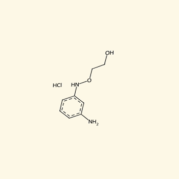 Cl.Nc1cccc(NOCCO)c1